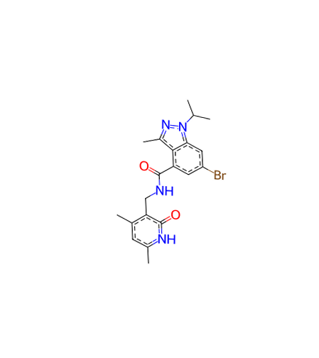 Cc1cc(C)c(CNC(=O)c2cc(Br)cc3c2c(C)nn3C(C)C)c(=O)[nH]1